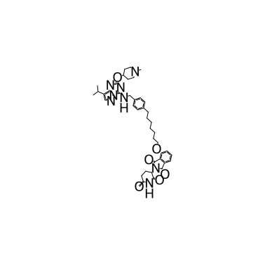 CC(C)c1cnn2c(NCc3ccc(CCCCCCCOc4cccc5c4C(=O)N(C4CCC(=O)NC4=O)C5=O)cc3)nc(OC3CCN(C)CC3)nc12